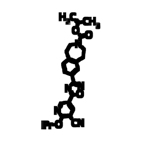 C=C(C)OC(=O)N1CCc2ccc(-c3noc(-c4cnc(OC(C)C)c(C#N)c4)n3)cc2CC1